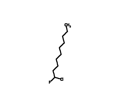 CCCCCCCCCC(F)Cl